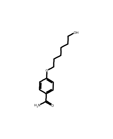 NC(=O)c1ccc(OCCCCCCO)cc1